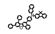 CC1(C)c2ccccc2-c2ccc(N(c3ccc(-c4cc5c(oc6cc(-c7ccccc7)cc(-c7ccccc7)c65)c5ccccc45)cc3)c3ccc4ccccc4c3)cc21